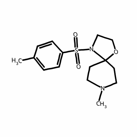 Cc1ccc(S(=O)(=O)N2CCOC23CCN(C)CC3)cc1